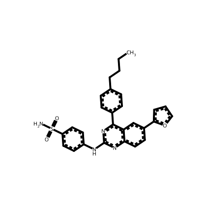 CCCCc1ccc(-c2nc(Nc3ccc(S(N)(=O)=O)cc3)nc3ccc(-c4ccco4)cc23)cc1